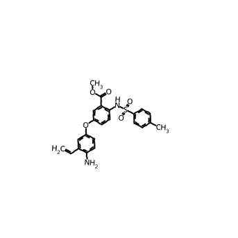 C=Cc1cc(Oc2ccc(NS(=O)(=O)c3ccc(C)cc3)c(C(=O)OC)c2)ccc1N